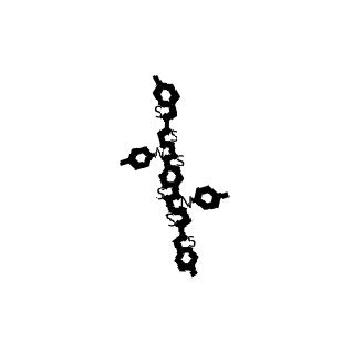 Cc1ccc(-n2c3cc(-c4cc5ccc(C)cc5s4)sc3c3sc4cc5c(cc4c32)sc2c3sc(-c4cc6ccc(C)cc6s4)cc3n(-c3ccc(C)cc3)c52)cc1